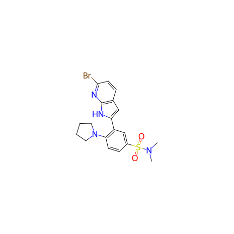 CN(C)S(=O)(=O)c1ccc(N2CCCC2)c(-c2cc3ccc(Br)nc3[nH]2)c1